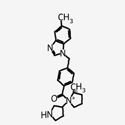 Cc1ccc2c(c1)ncn2Cc1ccc(C(=O)[N+]2(C3CCNC3)CCC[C@H]2C)cc1